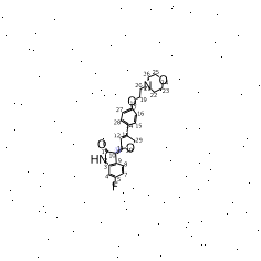 O=C1Nc2cc(F)ccc2/C1=C1/C=C(c2ccc(OCCN3CCOCC3)cc2)CO1